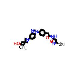 CC1(O)CC2(CN(c3ccc4c(c3)ncn4-c3ccc(CC(=O)Nc4cc(C(C)(C)C)no4)cc3)C2)C1